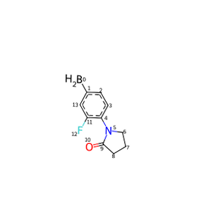 Bc1ccc(N2CCCC2=O)c(F)c1